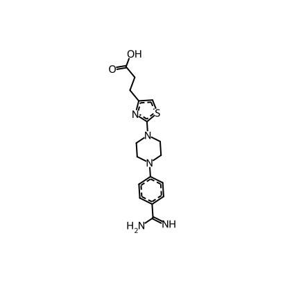 N=C(N)c1ccc(N2CCN(c3nc(CCC(=O)O)cs3)CC2)cc1